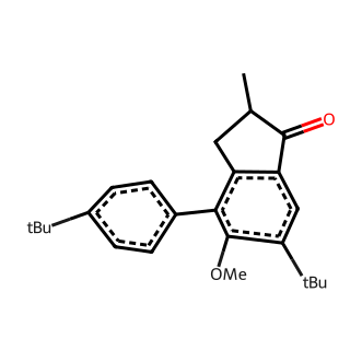 COc1c(C(C)(C)C)cc2c(c1-c1ccc(C(C)(C)C)cc1)CC(C)C2=O